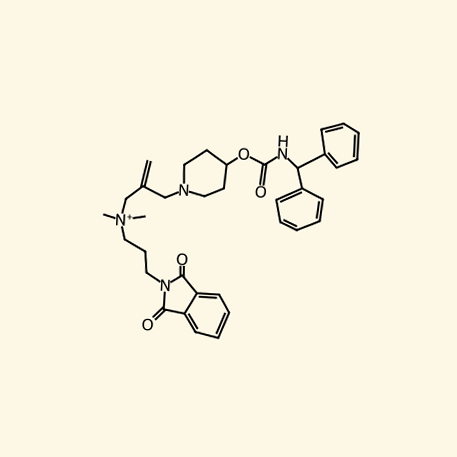 C=C(CN1CCC(OC(=O)NC(c2ccccc2)c2ccccc2)CC1)C[N+](C)(C)CCCN1C(=O)c2ccccc2C1=O